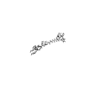 Cn1cccc1C(=O)N1CCOC2(CCN(CCCCCCCCCNCC(O)c3ccc(O)c4[nH]c(=O)sc34)CC2)C1